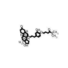 CN(C)C(=O)CCCOc1ccc(CCC[C@@H]2C[C@H]3CC(=O)CC[C@]3(C)[C@H]3CC[C@]4(C)[C@@H](O)CC[C@H]4[C@H]23)cc1O